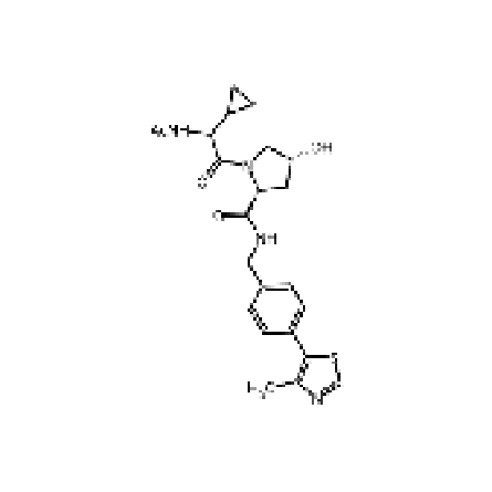 CC(=O)NC(C(=O)N1C[C@H](O)C[C@H]1C(=O)NCc1ccc(-c2scnc2C)cc1)C1CC1